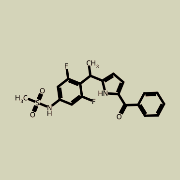 CC(c1ccc(C(=O)c2ccccc2)[nH]1)c1c(F)cc(NS(C)(=O)=O)cc1F